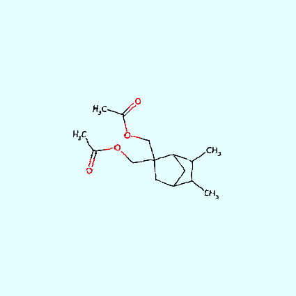 CC(=O)OCC1(COC(C)=O)CC2CC1C(C)C2C